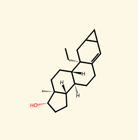 CC[C@]12CC3CC3C=C1CC[C@@H]1[C@@H]2CC[C@]2(C)[C@@H](O)CC[C@@H]12